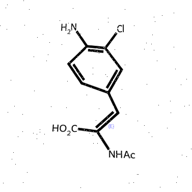 CC(=O)N/C(=C/c1ccc(N)c(Cl)c1)C(=O)O